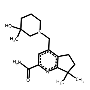 CC1(O)CCCN(Cc2cc(C(N)=O)nc3c2CCC3(C)C)C1